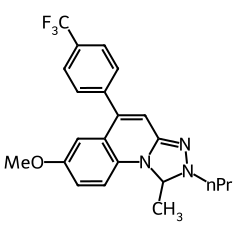 CCCN1N=C2C=C(c3ccc(C(F)(F)F)cc3)c3cc(OC)ccc3N2C1C